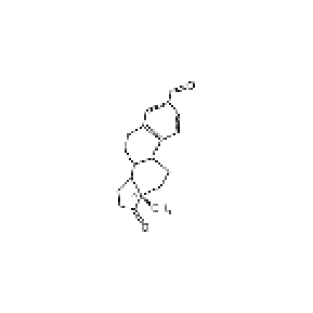 C[C@]12CCC3c4ccc(C=O)cc4CCC3C1CCC2=O